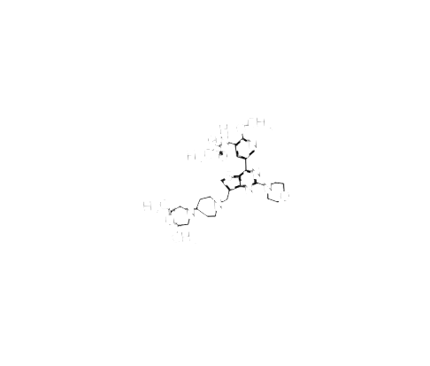 COc1ncc(-c2nc(N3CCOCC3)nc3c(CN4CCC(N5C[C@@H](C)O[C@@H](C)C5)CC4)csc23)cc1NS(C)(=O)=O